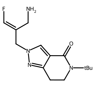 CC(C)(C)N1CCc2nn(CC(=CF)CN)cc2C1=O